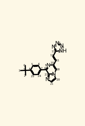 CC(C)(C)c1ccc(-c2nc(/C=C/c3nnn[nH]3)cn3ccnc23)cc1